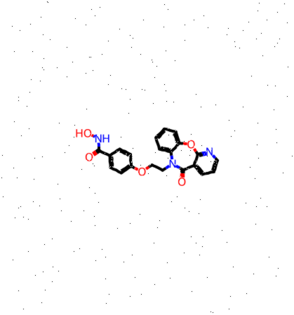 O=C(NO)c1ccc(OCCN2C(=O)c3cccnc3Oc3ccccc32)cc1